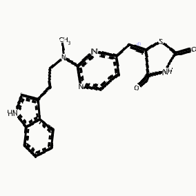 CN(CCc1c[nH]c2ccccc12)c1nccc(/C=C2/SC(=O)NC2=O)n1